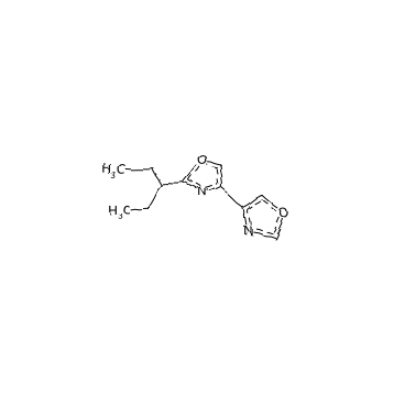 CCC(CC)c1nc(-c2cocn2)co1